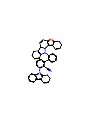 N#Cc1c(-c2ccccc2N2C3=C(CCC=C3)C3C=Cc4oc5c(c4C32)C=CCC5)cccc1-n1c2c(c3ccccc31)C=CCC2